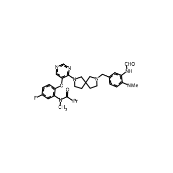 CNc1ccc(CN2CCC3(CCN(c4ncncc4Oc4ccc(F)cc4N(C)C(=O)C(C)C)C3)C2)cc1NC=O